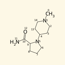 CN1CCC(N2CCCC2C(N)=O)CC1